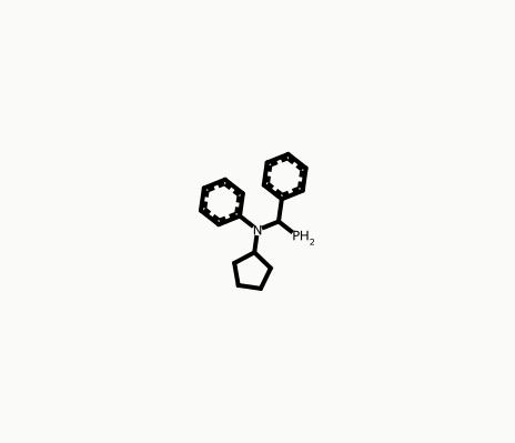 PC(c1ccccc1)N(c1ccccc1)C1CCCC1